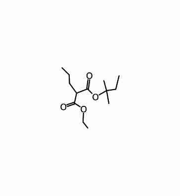 CCCC(C(=O)OCC)C(=O)OC(C)(C)CC